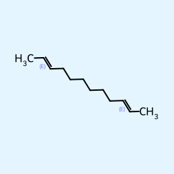 C/C=C/CCCCCC/C=C/C